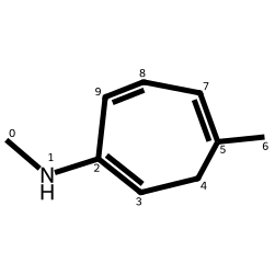 CNC1=CCC(C)=CC=C1